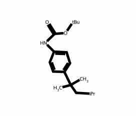 CC(C)CC(C)(C)c1ccc(NC(=O)OC(C)(C)C)cc1